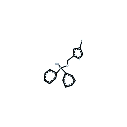 CC(C)(C)[Si](OCc1cc(F)cs1)(c1ccccc1)c1ccccc1